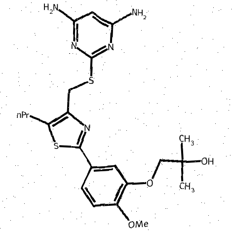 CCCc1sc(-c2ccc(OC)c(OCC(C)(C)O)c2)nc1CSc1nc(N)cc(N)n1